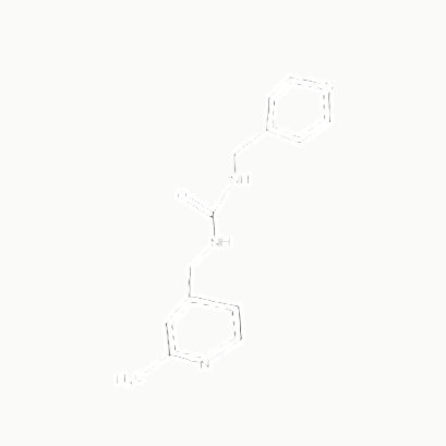 Cc1cc(CNC(=O)NCc2ccncc2)ccn1